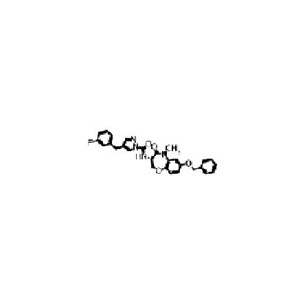 CN1C(=O)[C@@H](NC(=O)n2cc(Cc3cccc(F)c3)cn2)COc2ccc(OCc3ccccc3)cc21